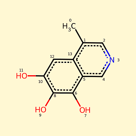 Cc1cncc2c(O)c(O)c(O)cc12